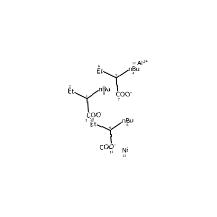 CCCCC(CC)C(=O)[O-].CCCCC(CC)C(=O)[O-].CCCCC(CC)C(=O)[O-].[Al+3].[Ni]